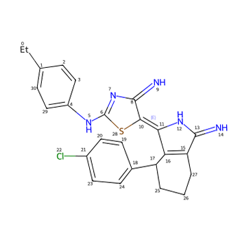 CCc1ccc(NC2=NC(=N)/C(=C3\NC(=N)C4=C3C(c3ccc(Cl)cc3)CCC4)S2)cc1